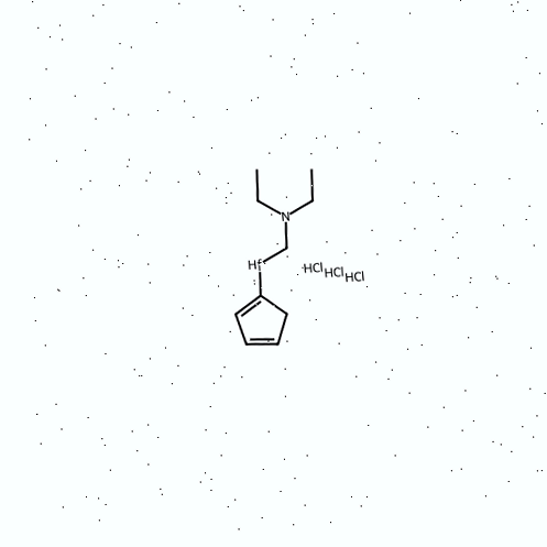 CCN(CC)[CH2][Hf][C]1=CC=CC1.Cl.Cl.Cl